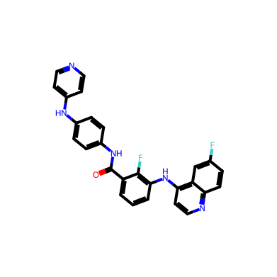 O=C(Nc1ccc(Nc2ccncc2)cc1)c1cccc(Nc2ccnc3ccc(F)cc23)c1F